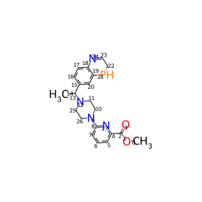 COC(=O)c1cccc(N2CCN(C(C)c3ccc4c(c3)PCC=N4)CC2)n1